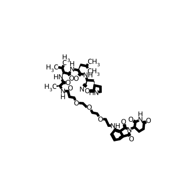 CC(C)C[C@H](NC(=O)[C@@H](NC(=O)[C@H](C)NC(=O)CCOCCOCCOCCNc1cccc2c1C(=O)N(C1CCC(=O)NC1=O)C2=O)C(C)C)C(=O)N[C@H](C#N)C[C@@H]1CCNC1=O